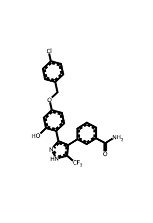 NC(=O)c1cccc(-c2c(-c3ccc(OCc4ccc(Cl)cc4)cc3O)n[nH]c2C(F)(F)F)c1